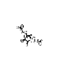 C(COCC1CO1)COCC1CO1.C=C(C)C(=O)O